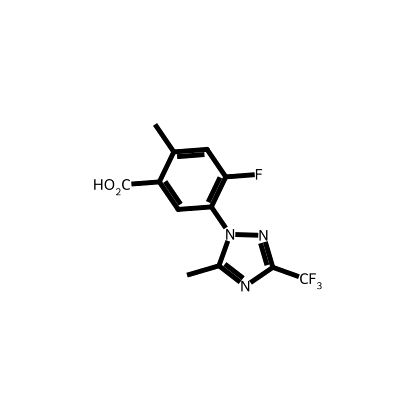 Cc1cc(F)c(-n2nc(C(F)(F)F)nc2C)cc1C(=O)O